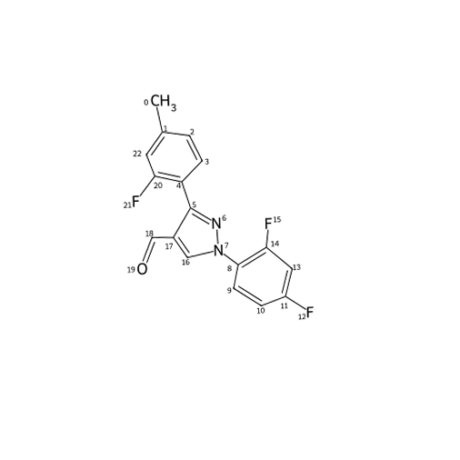 Cc1ccc(-c2nn(-c3ccc(F)cc3F)cc2C=O)c(F)c1